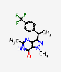 Cc1nc2c(C(C)c3ccc(C(F)(F)F)cc3)nn(C)c2c(=O)[nH]1